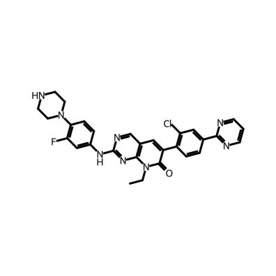 CCn1c(=O)c(-c2ccc(-c3ncccn3)cc2Cl)cc2cnc(Nc3ccc(N4CCNCC4)c(F)c3)nc21